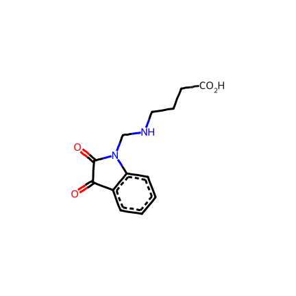 O=C(O)CCCNCN1C(=O)C(=O)c2ccccc21